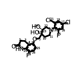 O=C1CCc2c(OC[C@]3(O)CCN(c4c(F)cc(Cl)cc4Cl)C[C@H]3O)ccc(F)c2N1